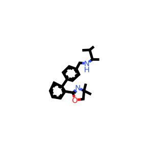 CC(C)C(C)NCc1ccc(-c2ccccc2C2=NC(C)(C)CO2)cc1